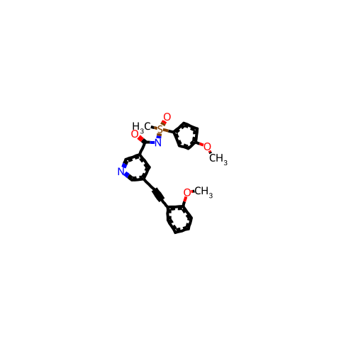 COc1ccc(S(C)(=O)=NC(=O)c2cncc(C#Cc3ccccc3OC)c2)cc1